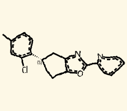 Cc1ccc([C@H]2CCc3oc(-c4ccccn4)nc3C2)c(Cl)c1